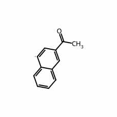 CC(=O)c1c[c]c2ccccc2c1